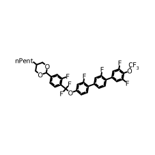 CCCCCC1COC(c2ccc(C(F)(F)Oc3ccc(-c4ccc(-c5cc(F)c(OC(F)(F)F)c(F)c5)c(F)c4)c(F)c3)c(F)c2)OC1